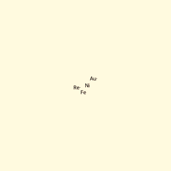 [Au].[Fe].[Ni].[Re]